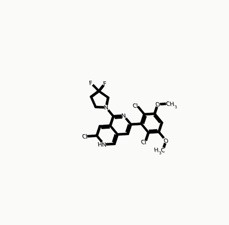 COc1cc(OC)c(Cl)c(-c2cc3c(c(N4CCC(F)(F)C4)n2)=CC(Cl)NC=3)c1Cl